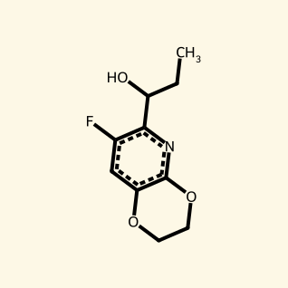 CCC(O)c1nc2c(cc1F)OCCO2